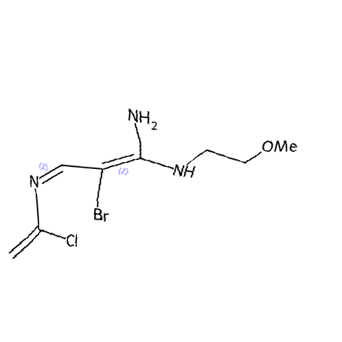 C=C(Cl)/N=C\C(Br)=C(/N)NCCOC